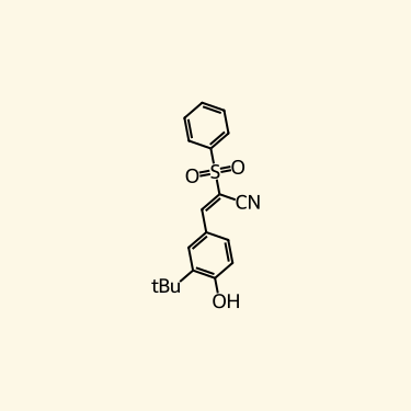 CC(C)(C)c1cc(/C=C(\C#N)S(=O)(=O)c2ccccc2)ccc1O